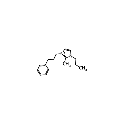 CCCn1cc[n+](CCCc2ccccc2)c1C